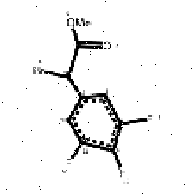 COC(=O)C(Br)c1cc(F)c(F)c(F)c1